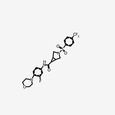 O=C(Nc1ccc(N2CCOCC2)c(F)c1)C1C2CN(S(=O)(=O)c3ccc(C(F)(F)F)cc3)CC21